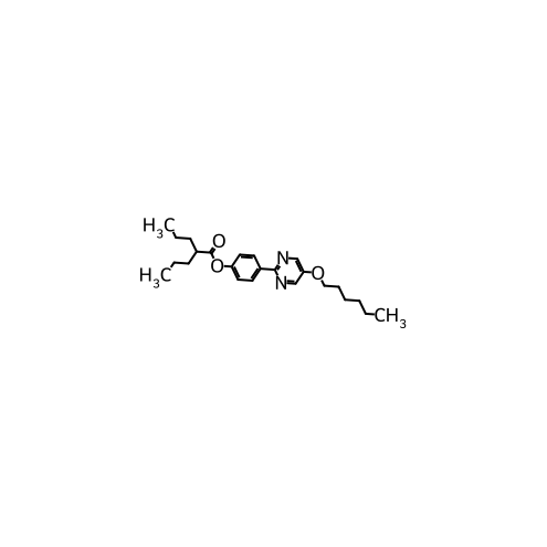 CCCCCCOc1cnc(-c2ccc(OC(=O)C(CCC)CCC)cc2)nc1